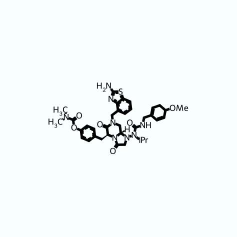 COC1C=CC(CNC(=O)N(C(C)C)N2CC(=O)N3[C@@H](Cc4ccc(OC(=O)N(C)C)cc4)C(=O)N(Cc4cccc5sc(N)nc45)C[C@@H]32)=CC1